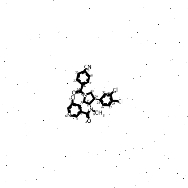 CN(C(=O)c1cncc(Cl)c1)[C@@H]1CN(C(=O)c2ccc(C#N)cc2)C[C@H]1c1ccc(Cl)c(Cl)c1